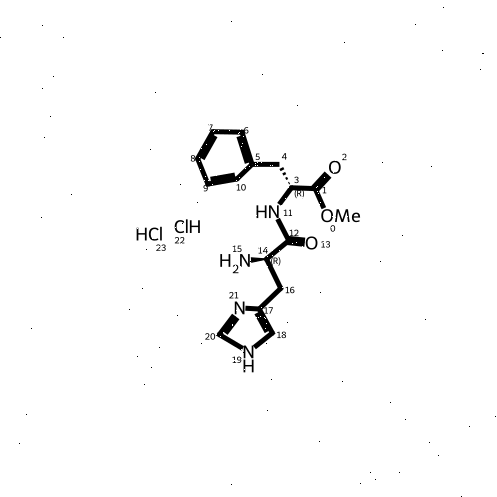 COC(=O)[C@@H](Cc1ccccc1)NC(=O)[C@H](N)Cc1c[nH]cn1.Cl.Cl